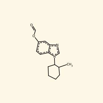 CC1CCCCC1n1cnc2cc(OC=O)ccc21